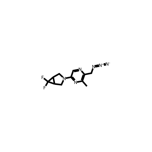 Cc1nc(N2CC3C(C2)C3(F)F)cnc1CN=[N+]=[N-]